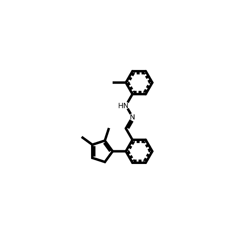 CC1=CCC(c2ccccc2/C=N/Nc2ccccc2C)=C1C